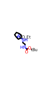 CCOC(=O)N1C2CCC1CC(NCCNC(=O)OC(C)(C)C)C2